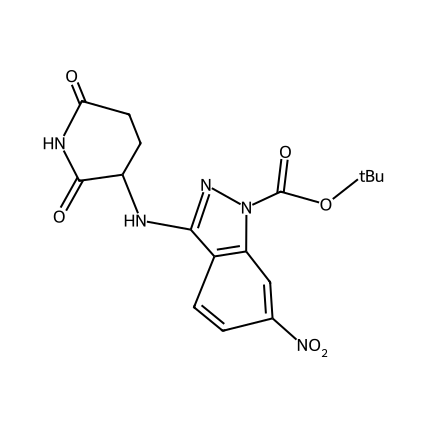 CC(C)(C)OC(=O)n1nc(NC2CCC(=O)NC2=O)c2ccc([N+](=O)[O-])cc21